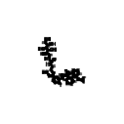 Cc1ccc(C(CO)CCCNC(=O)NCC(O)C(O)C(O)C(O)CO)cc1CNC1(c2cnccc2-c2ccccc2OC2CC2)CC1